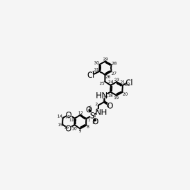 O=C(CNS(=O)(=O)c1ccc2c(c1)OCCO2)Nc1ccc(Cl)cc1Cc1ccccc1Cl